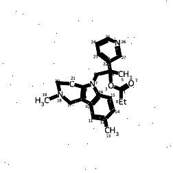 CCC(=O)OC(C)(Cn1c2c(c3cc(C)ccc31)CN(C)CC2)c1cccnc1